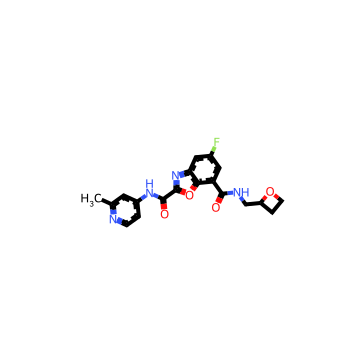 Cc1cc(NC(=O)c2nc3cc(F)cc(C(=O)NCC4CCO4)c3o2)ccn1